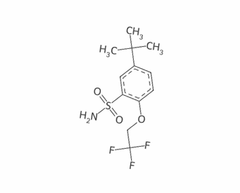 CC(C)(C)c1ccc(OCC(F)(F)F)c(S(N)(=O)=O)c1